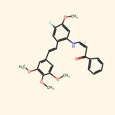 COc1cc(N/C=C\C(=O)c2ccccc2)c(C=Cc2cc(OC)c(OC)c(OC)c2)cc1F